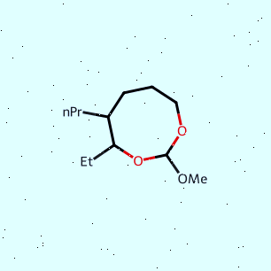 CCCC1CCCOC(OC)OC1CC